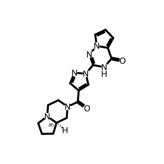 O=C(c1cnn(-c2nn3cccc3c(=O)[nH]2)c1)N1CCN2CCC[C@@H]2C1